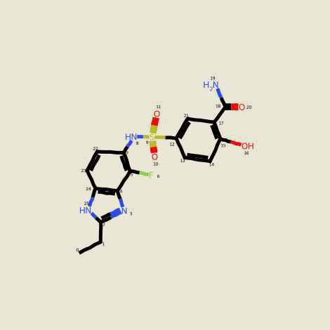 CCc1nc2c(F)c(NS(=O)(=O)c3ccc(O)c(C(N)=O)c3)ccc2[nH]1